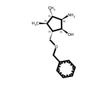 C[C@H]1[C@H](C)[C@@H](COCc2ccccc2)[C@H](O)[C@@H]1N